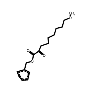 COCCCCCCCC(=O)C(=O)OCc1ccccc1